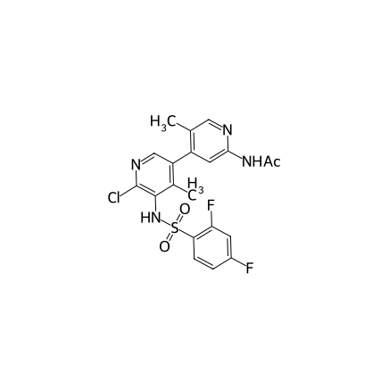 CC(=O)Nc1cc(-c2cnc(Cl)c(NS(=O)(=O)c3ccc(F)cc3F)c2C)c(C)cn1